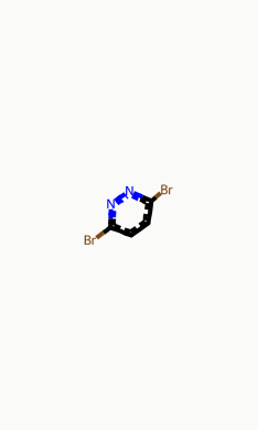 Brc1ccc(Br)nn1